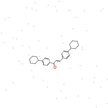 O=C(C=Cc1ccc(C2CCCCC2)cc1)c1ccc(C2CCCCC2)cc1